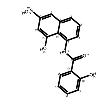 O=C(Nc1cccc2cc(S(=O)(=O)O)cc(O)c12)c1ccccc1O